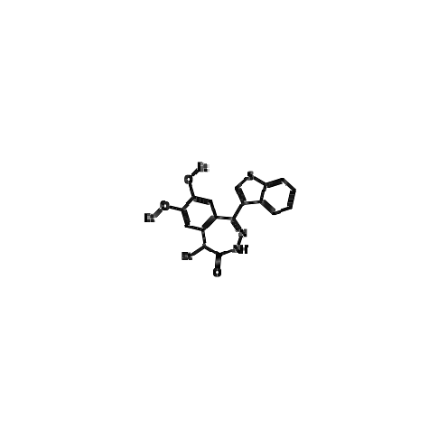 CCOc1cc2c(cc1OCC)C(CC)C(=O)NN=C2c1csc2ccccc12